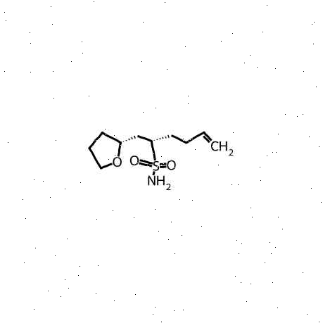 C=CCC[C@@H](C[C@H]1CCCO1)S(N)(=O)=O